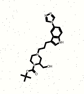 CC(C)(C)OC(=O)N1CCN(CCCc2c[nH]c3ccc(-n4cnnc4)cc23)CC1CO